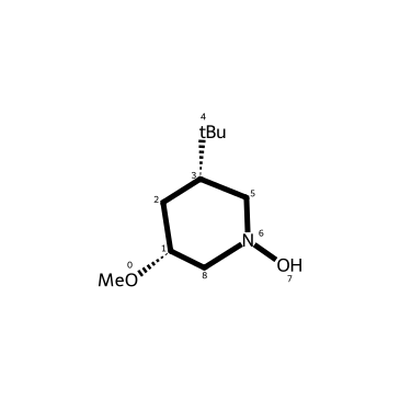 CO[C@@H]1C[C@H](C(C)(C)C)CN(O)C1